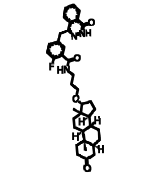 C[C@]12CCC(=O)C[C@@H]1CC[C@@H]1[C@@H]2CC[C@]2(C)[C@@H](OCCCNC(=O)c3cc(Cc4n[nH]c(=O)c5ccccc45)ccc3F)CC[C@@H]12